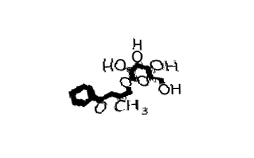 C[C@@H](CO[C@@H]1O[C@H](CO)[C@@H](O)[C@H](O)[C@H]1O)CC(=O)c1ccccc1